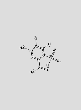 CC(=O)c1cc(C)c(Cl)c(Cl)c1S(=O)(=O)Cl